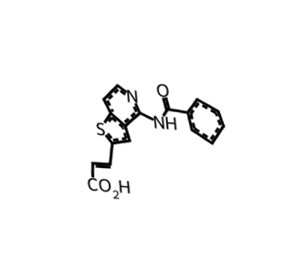 O=C(O)/C=C/c1cc2c(NC(=O)c3ccccc3)nccc2s1